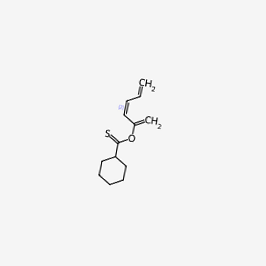 C=C/C=C\C(=C)OC(=S)C1CCCCC1